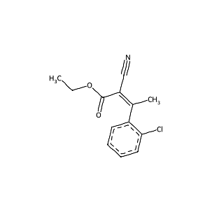 CCOC(=O)C(C#N)=C(C)c1ccccc1Cl